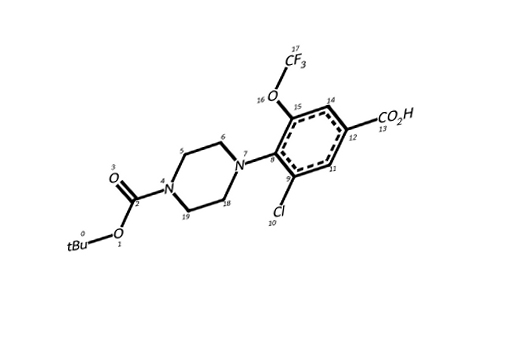 CC(C)(C)OC(=O)N1CCN(c2c(Cl)cc(C(=O)O)cc2OC(F)(F)F)CC1